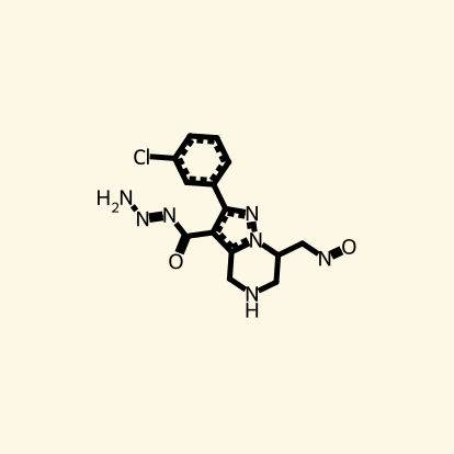 NN=NC(=O)c1c(-c2cccc(Cl)c2)nn2c1CNCC2CN=O